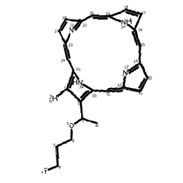 [2H]c1c(C(C)OCCCF)c2cc3nc(cc4ccc(cc5nc(cc1[nH]2)C=C5)[nH]4)C=C3